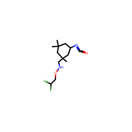 CC1(C)CC(N=C=O)CC(C)(CNOCC(F)F)C1